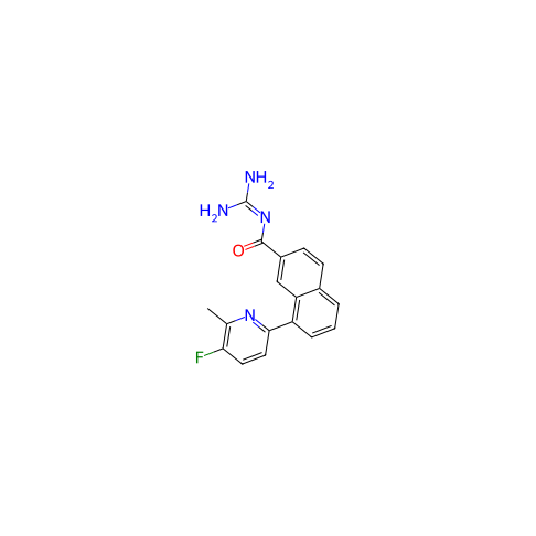 Cc1nc(-c2cccc3ccc(C(=O)N=C(N)N)cc23)ccc1F